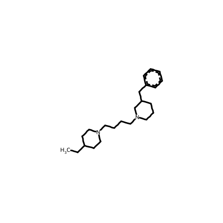 CCC1CCN(CCCCN2CCCC(Cc3ccccc3)C2)CC1